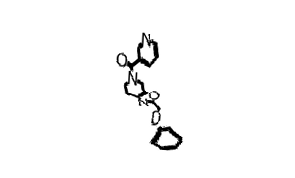 O=C(c1cccnc1)N1CCc2nc(COc3ccccc3)oc2C1